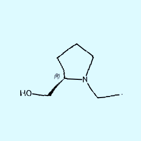 [CH2]CN1CCC[C@@H]1CO